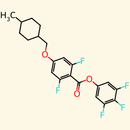 CC1CCC(COc2cc(F)c(C(=O)Oc3cc(F)c(F)c(F)c3)c(F)c2)CC1